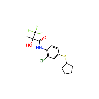 CC(O)(C(=O)Nc1ccc(SC2CCCC2)cc1Cl)C(F)(F)F